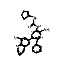 Nc1nc(-c2ccccc2)c(-c2cc(Cl)c3ncccc3c2)nc1NC(=O)NC1CCCC1